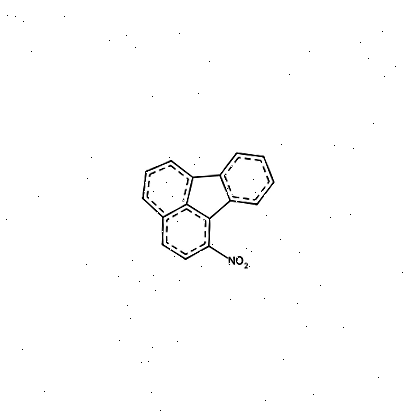 O=[N+]([O-])c1ccc2cccc3c2c1-c1ccccc1-3